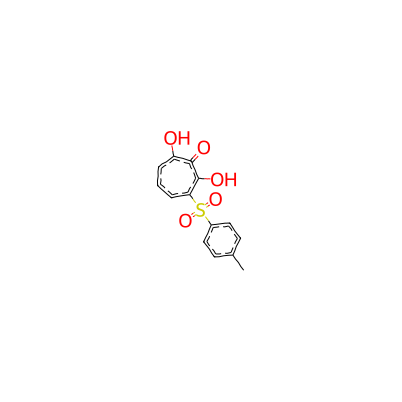 Cc1ccc(S(=O)(=O)c2cccc(O)c(=O)c2O)cc1